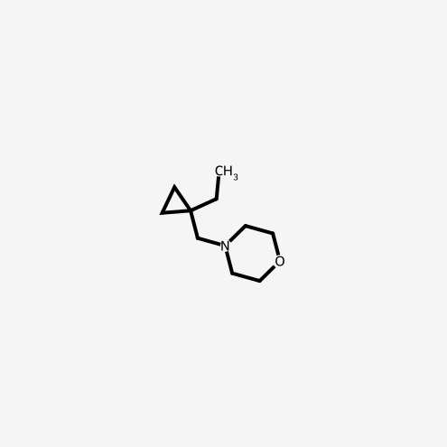 CCC1(CN2CCOCC2)CC1